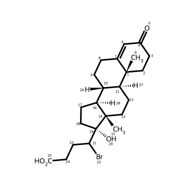 C[C@]12CCC(=O)C=C1CC[C@@H]1[C@@H]2CC[C@@]2(C)[C@H]1CC[C@]2(O)C(Br)CCC(=O)O